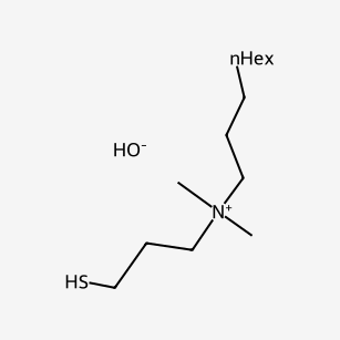 CCCCCCCCC[N+](C)(C)CCCS.[OH-]